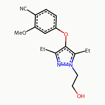 CCc1nn(CCO)c(CC)c1Oc1ccc(C#N)c(OC)c1